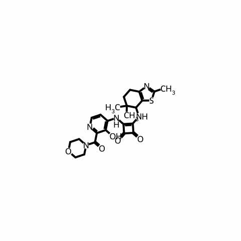 Cc1nc2c(s1)C(Nc1c(Nc3ccnc(C(=O)N4CCOCC4)c3O)c(=O)c1=O)C(C)(C)CC2